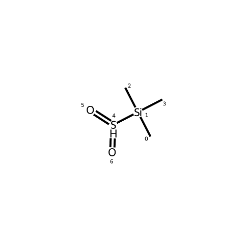 C[Si](C)(C)[SH](=O)=O